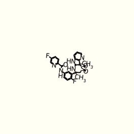 C[C@@]1(c2ccccn2)C(=N)N[C@](C)(c2cc(NC(=O)c3ccc(F)cn3)ccc2F)CS1(=O)=O